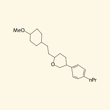 CCCc1ccc(C2CCC(CCC3CCC(OC)CC3)OC2)cc1